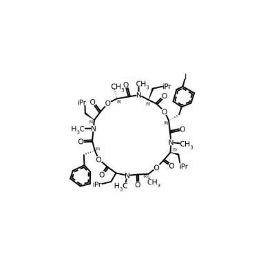 CC(C)CC1C(=O)O[C@H](Cc2ccccc2)C(=O)N(C)[C@@H](CC(C)C)C(=O)O[C@H](C)C(=O)N(C)[C@@H](CC(C)C)C(=O)O[C@H](Cc2ccc(I)cc2)C(=O)N(C)[C@@H](CC(C)C)C(=O)O[C@H](C)C(=O)N1C